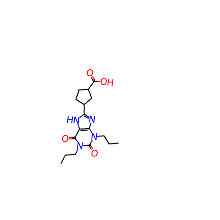 CCCn1c(=O)c2[nH]c(C3CCC(C(=O)O)C3)nc2n(CCC)c1=O